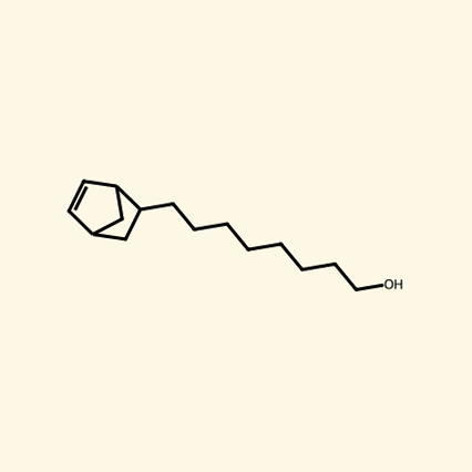 OCCCCCCCCC1CC2C=CC1C2